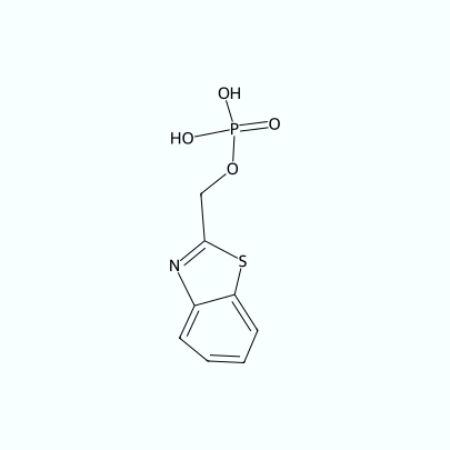 O=P(O)(O)OCc1nc2ccccc2s1